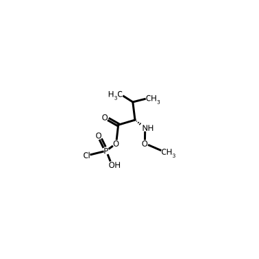 CON[C@H](C(=O)OP(=O)(O)Cl)C(C)C